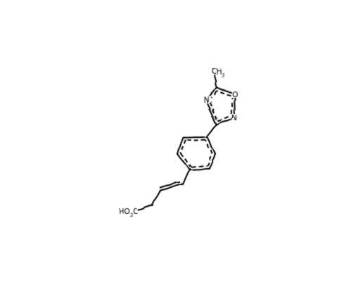 Cc1nc(-c2ccc(/C=C/CC(=O)O)cc2)no1